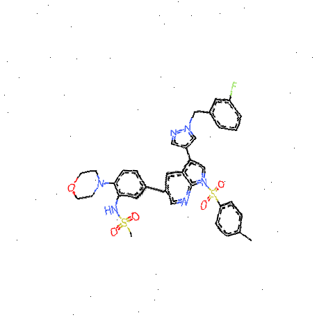 Cc1ccc(S(=O)(=O)n2cc(-c3cnn(Cc4cccc(F)c4)c3)c3cc(-c4ccc(N5CCOCC5)c(NS(C)(=O)=O)c4)cnc32)cc1